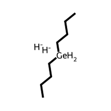 CCC[CH2][GeH2][CH2]CCC.[H-].[H-]